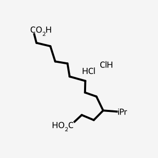 CC(C)C(CCCCCCCCC(=O)O)CCC(=O)O.Cl.Cl